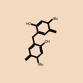 C=C1C=C(CC2=CC(=C)C(C(C)(C)C)C=C2O)C(O)=CC1C(C)(C)C